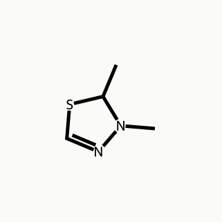 CC1SC=NN1C